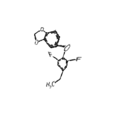 CCc1cc(F)c(Oc2ccc3c(c2)OCO3)c(F)c1